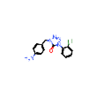 Nc1ccc(Cn2nnn(-c3ccccc3Cl)c2=O)cc1